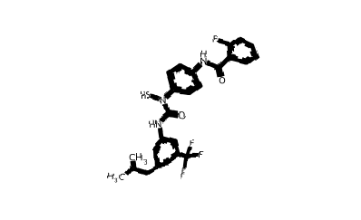 CC(C)Cc1cc(NC(=O)N(S)c2ccc(NC(=O)c3ccccc3F)cc2)cc(C(F)(F)F)c1